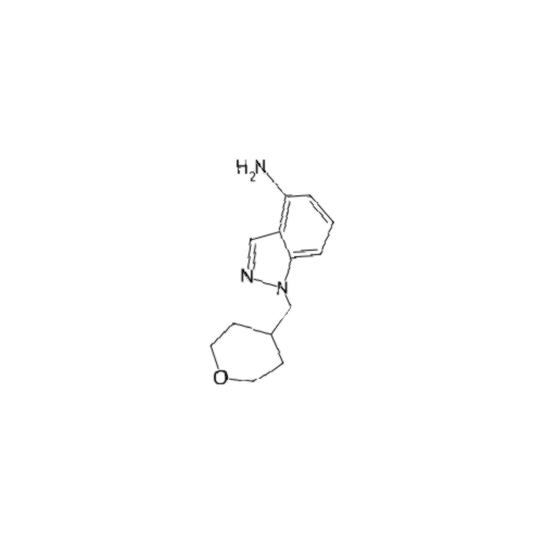 Nc1cccc2c1cnn2CC1CCOCC1